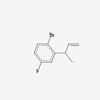 [CH2]C(C=C)c1cc(F)ccc1Br